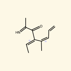 C=C/C=C(C)\C(=C/C)C(=O)C(C)=N